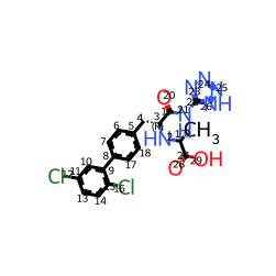 CC(N[C@H](Cc1ccc(-c2cc(Cl)ccc2Cl)cc1)C(=O)Nc1nnn[nH]1)C(=O)O